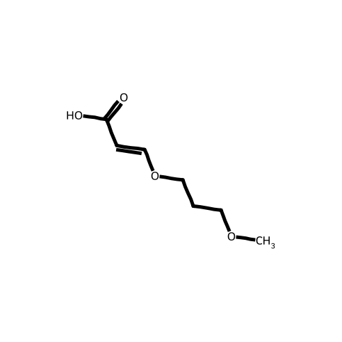 COCCCOC=CC(=O)O